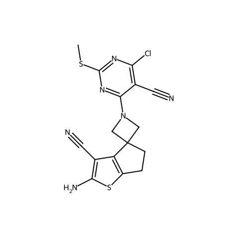 CSc1nc(Cl)c(C#N)c(N2CC3(CCc4sc(N)c(C#N)c43)C2)n1